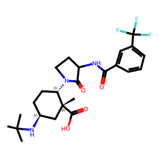 CC(C)(C)N[C@H]1CC[C@H](N2CCC(NC(=O)c3cccc(C(F)(F)F)c3)C2=O)[C@](C)(C(=O)O)C1